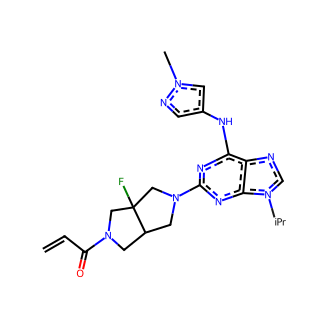 C=CC(=O)N1CC2CN(c3nc(Nc4cnn(C)c4)c4ncn(C(C)C)c4n3)CC2(F)C1